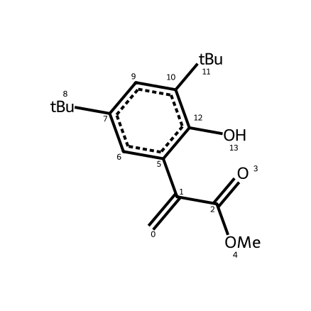 C=C(C(=O)OC)c1cc(C(C)(C)C)cc(C(C)(C)C)c1O